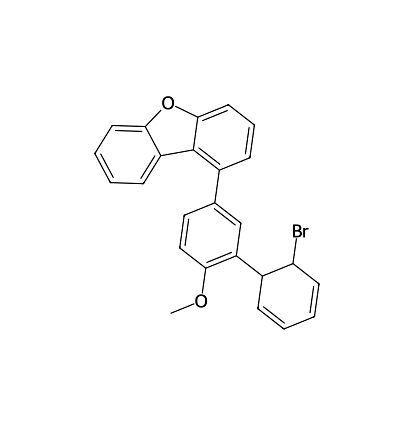 COc1ccc(-c2cccc3oc4ccccc4c23)cc1C1C=CC=CC1Br